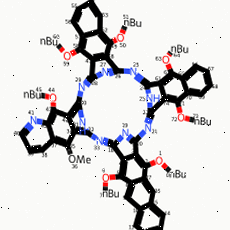 CCCCOc1c2c(c(OCCCC)c3cc4ccccc4cc13)-c1nc-2nc2[nH]c(nc3nc(nc4[nH]c(n1)c1c(OC)c5cccnc5c(OCCCC)c41)-c1c-3c(OCCCC)c3ccccc3c1OCCCC)c1c(OCCCC)c3ccccc3c(OCCCC)c21